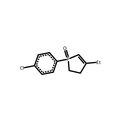 CCC1=CP(=O)(c2ccc(Cl)cc2)CC1